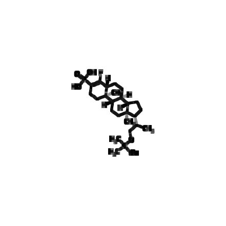 CC(CO[Si](C)(C)C(C)(C)C)[C@H]1CC[C@H]2[C@@H]3CC[C@H]4C(F)=C(P(=O)(O)O)CC[C@]4(C)[C@H]3CC[C@]12C